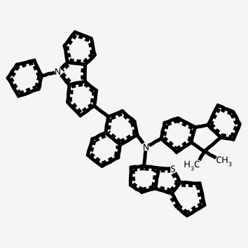 CC1(C)c2ccccc2-c2ccc(N(c3ccc(-c4ccc5c(c4)c4ccccc4n5-c4ccccc4)c4ccccc34)c3cccc4c3sc3ccccc34)cc21